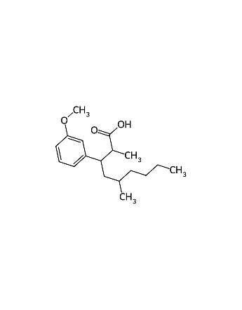 CCCCC(C)CC(c1cccc(OC)c1)C(C)C(=O)O